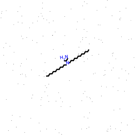 CCCCCCCCCCCCN(CCCCCCCCCCCC)C(C)CN